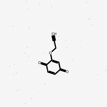 C#CCOC1=CC(=O)C=CC1=O